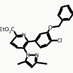 CCOC(=O)c1ccc(-n2nc(C)cc2C)c(-c2ccc(Cl)c(OCc3ccccc3)c2)n1